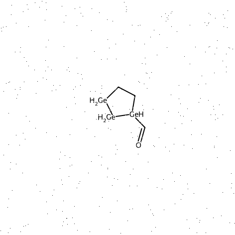 O=[CH][GeH]1[CH2][CH2][GeH2][GeH2]1